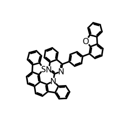 c1ccc2c(-c3ccc(-c4cccc5c4oc4ccccc45)cc3)nc(-n3c4ccccc4c4ccc5ccc6c7ccccc7sc6c5c43)nc2c1